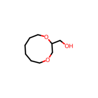 OCC1COCCCCCCO1